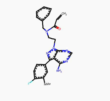 C=CC(=O)N(CCn1nc(-c2ccc(F)c(NC)c2)c2c(N)ncnc21)Cc1ccccc1